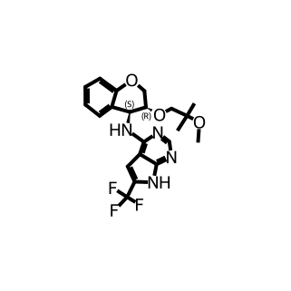 COC(C)(C)CO[C@H]1COc2ccccc2[C@@H]1Nc1ncnc2[nH]c(C(F)(F)F)cc12